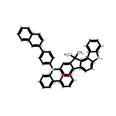 CC1(C)c2cc(N(c3ccc(-c4ccc5ccccc5c4)cc3)c3ccccc3-c3ccccc3)ccc2-c2ccc3oc4ccccc4c3c21